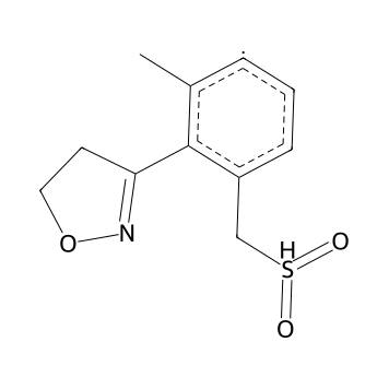 Cc1[c]ccc(C[SH](=O)=O)c1C1=NOCC1